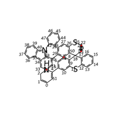 C1=CCNC(c2ccc3c(c2)Sc2ccccc2C32c3ccccc3Sc3ccc(-c4cccc5c6ccccc6n(-c6ccccc6)c45)cc32)=C1